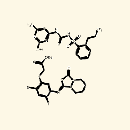 COC(=O)CSc1cc(/N=c2\sc(=O)n3n2CCCC3)c(F)cc1Cl.COc1nc(C)nc(NC(=O)NS(=O)(=O)c2ccccc2CCC(F)(F)F)n1